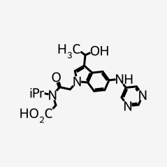 CC(O)c1cn(CC(=O)N(CC(=O)O)C(C)C)c2ccc(Nc3cncnc3)cc12